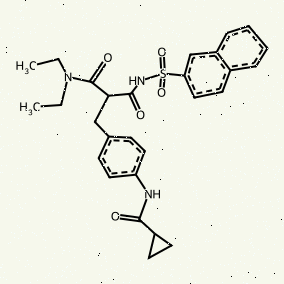 CCN(CC)C(=O)C(Cc1ccc(NC(=O)C2CC2)cc1)C(=O)NS(=O)(=O)c1ccc2ccccc2c1